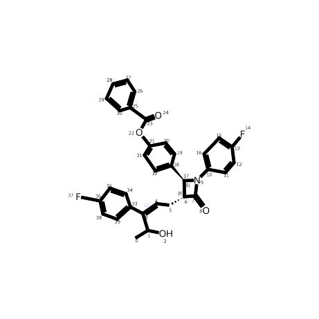 CC(O)/C(=C\C[C@H]1C(=O)N(c2ccc(F)cc2)[C@@H]1c1ccc(OC(=O)c2ccccc2)cc1)c1ccc(F)cc1